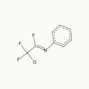 FC(=Nc1ccccc1)C(F)(F)Cl